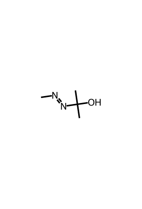 CN=NC(C)(C)O